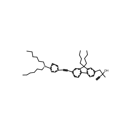 C#CC(C)(O)Cc1ccc2c(c1)C(CCCC)(CCCC)c1cc(C#Cc3ccc(N(CCCCCC)CCCCCC)cc3)ccc1-2